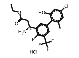 CCOC(=O)C[C@H](N)c1cc(-c2c(C)cc(Cl)cc2O)cc(C(F)(F)F)c1F.Cl